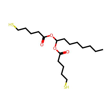 CCCCCCCC(OC(=O)CCCCS)OC(=O)CCCCS